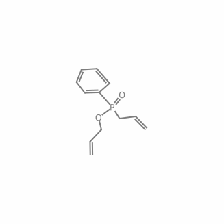 C=CCOP(=O)(CC=C)c1ccccc1